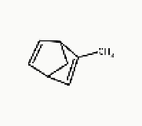 CC1=CC2C=CC1C2